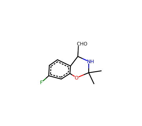 CC1(C)NC(C=O)c2ccc(F)cc2O1